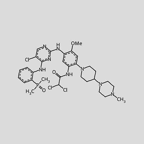 COc1cc(N2CCC(N3CCN(C)CC3)CC2)c(NC(=O)C(Cl)Cl)cc1Nc1ncc(Cl)c(Nc2ccccc2P(C)(C)=O)n1